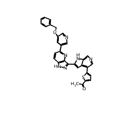 CC(=O)c1ccc(-c2cncc3[nH]c(-c4n[nH]c5ccc(-c6cncc(OCc7ccccc7)c6)nc45)cc23)s1